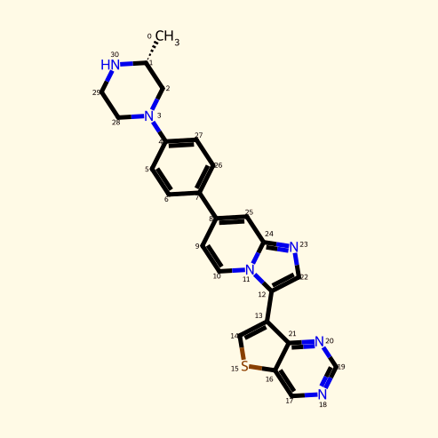 C[C@@H]1CN(c2ccc(-c3ccn4c(-c5csc6cncnc56)cnc4c3)cc2)CCN1